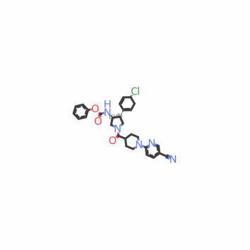 N#Cc1ccc(N2CCC(C(=O)N3C[C@@H](NC(=O)Oc4ccccc4)[C@H](C4=CCC(Cl)C=C4)C3)CC2)nc1